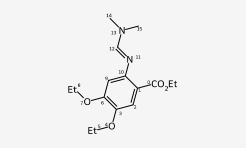 CCOC(=O)c1cc(OCC)c(OCC)cc1N=CN(C)C